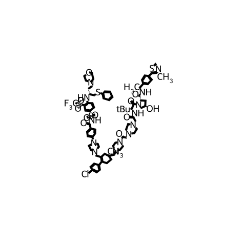 Cc1ncsc1-c1ccc([C@H](C)NC(=O)[C@@H]2C[C@@H](O)CN2C(=O)[C@@H](NC(=O)CN2CCN(CC(=O)N3CCN(CC4(C)CCC(c5ccc(Cl)cc5)=C(CN5CCN(c6ccc(C(=O)NS(=O)(=O)c7ccc(N[C@H](CCN8CCOCC8)CSc8ccccc8)c(S(=O)(=O)C(F)(F)F)c7)cc6)CC5)C4)CC3)CC2)C(C)(C)C)cc1